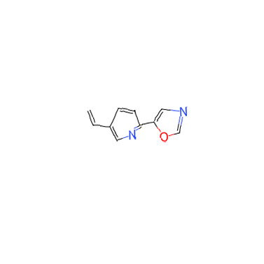 C=Cc1ccc(-c2cnco2)nc1